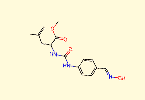 C=C(C)CC(NC(=O)Nc1ccc(C=NO)cc1)C(=O)OC